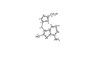 Cc1nc(N)c2nc(O)n(Cc3ccc(C(=O)O)o3)c2n1